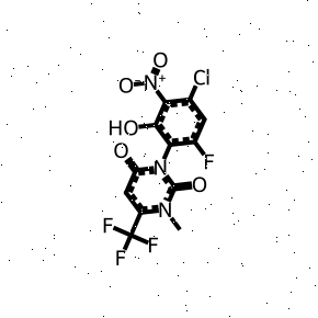 Cn1c(C(F)(F)F)cc(=O)n(-c2c(F)cc(Cl)c([N+](=O)[O-])c2O)c1=O